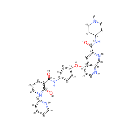 CN1CCC(NC(=O)c2cc3c(Oc4ccc(NC(=O)c5cccn(-c6ccccn6)c5=O)cc4)ccnc3cn2)CC1